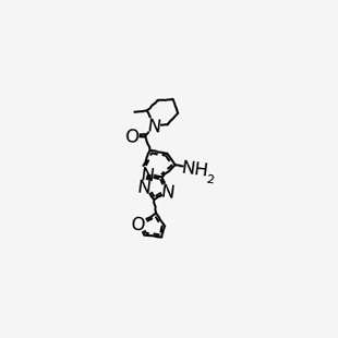 CC1CCCCN1C(=O)c1cc(N)c2nc(-c3ccco3)nn2c1